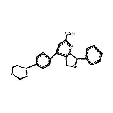 O=C(O)c1cc(-c2ccc(N3CCOCC3)cc2)c2c(n1)N(c1ccccc1)NC2